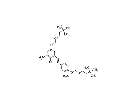 COc1cc(C=Cc2cc(OCOCC[Si](C)(C)C)cc(N)c2Br)ccc1OCOCC[Si](C)(C)C